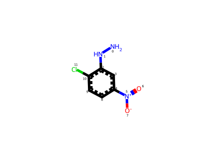 NNc1cc([N+](=O)[O-])ccc1Cl